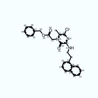 Cc1c(Cl)nc(NCCc2cccc3ccccc23)c(=O)n1CC(=O)OCc1ccccc1